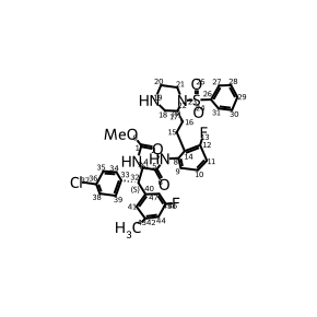 COC(=O)N[C@H](C(=O)Nc1cccc(F)c1CC[C@H]1CNCCN1S(=O)(=O)c1ccccc1)[C@@H](c1ccc(Cl)cc1)c1cc(C)cc(F)c1